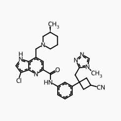 C[C@H]1CCCN(Cc2cc(C(=O)Nc3cccc(C4(Cc5nncn5C)CC(C#N)C4)c3)nc3c(Cl)c[nH]c23)C1